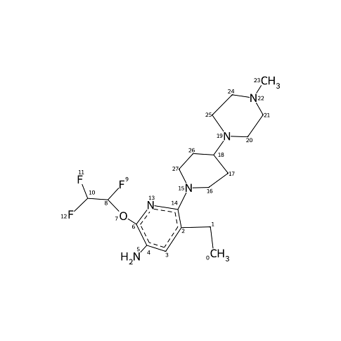 CCc1cc(N)c(OC(F)C(F)F)nc1N1CCC(N2CCN(C)CC2)CC1